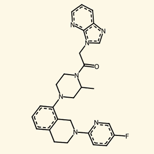 CC1CN(c2cccc3c2CN(c2ccc(F)cn2)CC3)CCN1C(=O)Cn1cnc2cccnc21